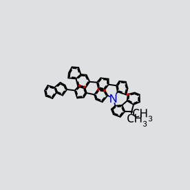 CC1(C)c2ccccc2-c2c(N(c3ccc(-c4ccc(-c5ccc6ccccc6c5)cc4)cc3)c3ccccc3-c3ccc(-c4ccc5ccccc5c4)cc3)cccc21